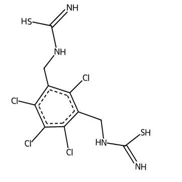 N=C(S)NCc1c(Cl)c(Cl)c(Cl)c(CNC(=N)S)c1Cl